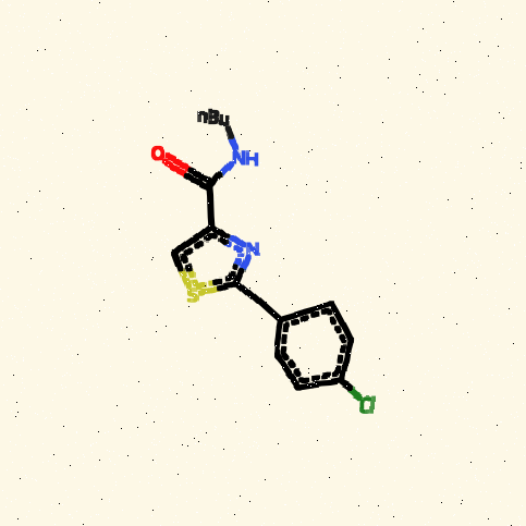 CCCCNC(=O)c1csc(-c2ccc(Cl)cc2)n1